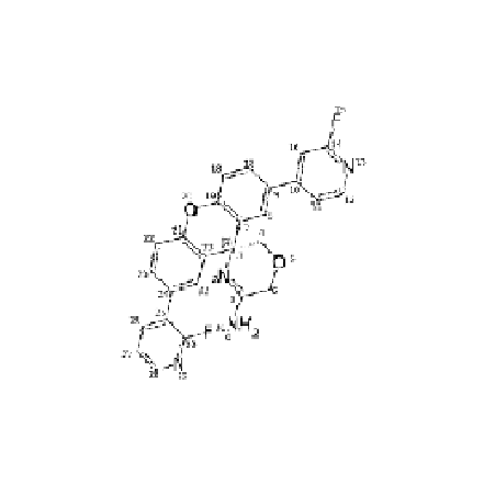 NC1=N[C@]2(COC1)c1cc(-c3ccnc(F)c3)ccc1Oc1ccc(-c3cccnc3F)cc12